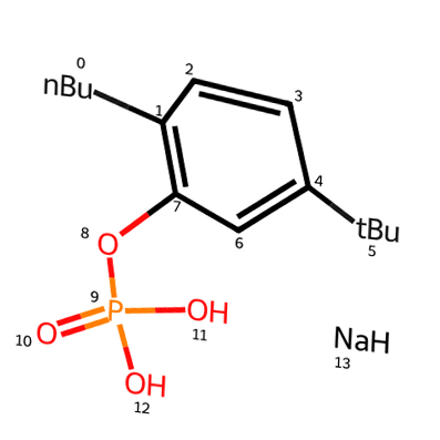 CCCCc1ccc(C(C)(C)C)cc1OP(=O)(O)O.[NaH]